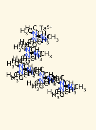 CCN(CC)[N-]C(C)(C)C(N(CC)CC)N(CC)CC.CCN(CC)[N-]C(C)(C)C(N(CC)CC)N(CC)CC.CCN(CC)[N-]C(C)(C)C(N(CC)CC)N(CC)CC.CCN(CC)[N-]C(C)(C)C(N(CC)CC)N(CC)CC.CCN(CC)[N-]C(C)(C)C(N(CC)CC)N(CC)CC.[Ta+5]